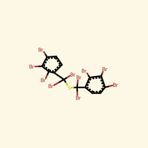 Brc1ccc(C(Br)(Br)SC(Br)(Br)c2ccc(Br)c(Br)c2Br)c(Br)c1Br